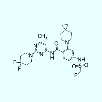 Cc1cc(NC(=O)c2ccc(NS(=O)(=O)CF)cc2N2CCC3(CC2)CC3)nc(N2CCC(F)(F)CC2)n1